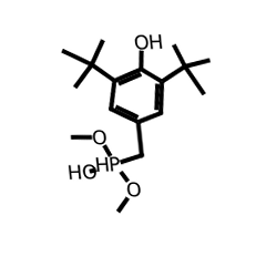 CO[PH](O)(Cc1cc(C(C)(C)C)c(O)c(C(C)(C)C)c1)OC